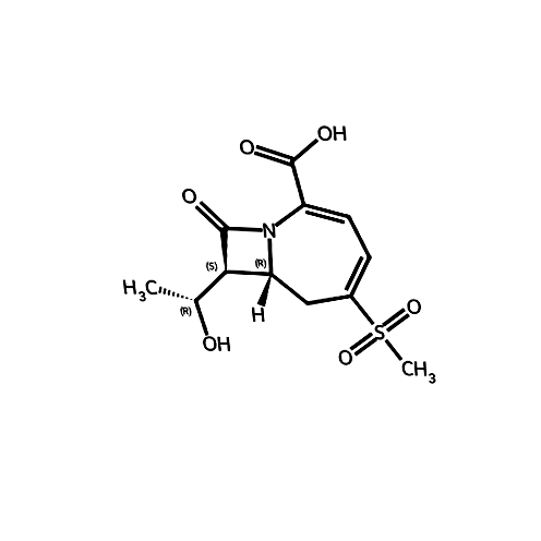 C[C@@H](O)[C@H]1C(=O)N2C(C(=O)O)=CC=C(S(C)(=O)=O)C[C@H]12